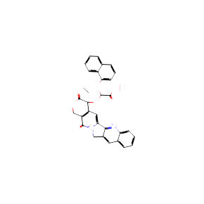 CC[C@@]1(OC(Oc2cccc3ccccc23)C(=O)O)C(=O)OCc2c1cc1n(c2=O)Cc2cc3ccccc3nc2-1